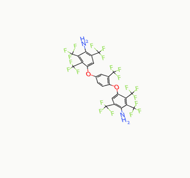 Nc1c(C(F)(F)F)cc(Oc2ccc(Oc3cc(C(F)(F)F)c(N)c(C(F)(F)F)c3C(F)(F)F)c(C(F)(F)F)c2)c(C(F)(F)F)c1C(F)(F)F